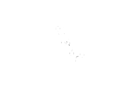 CC(=O)OCNCC1COC1